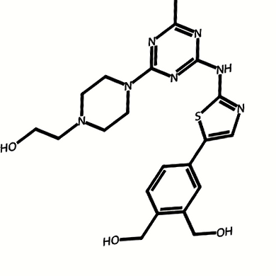 Cc1nc(Nc2ncc(-c3ccc(CO)c(CO)c3)s2)nc(N2CCN(CCO)CC2)n1